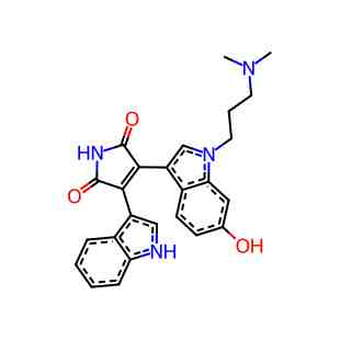 CN(C)CCCn1cc(C2=C(c3c[nH]c4ccccc34)C(=O)NC2=O)c2ccc(O)cc21